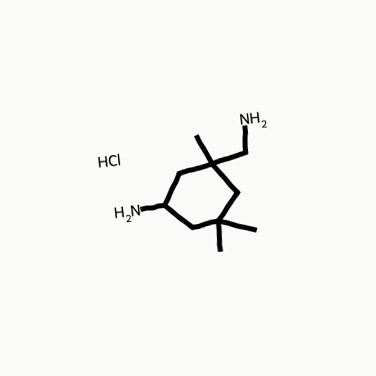 CC1(C)CC(N)CC(C)(CN)C1.Cl